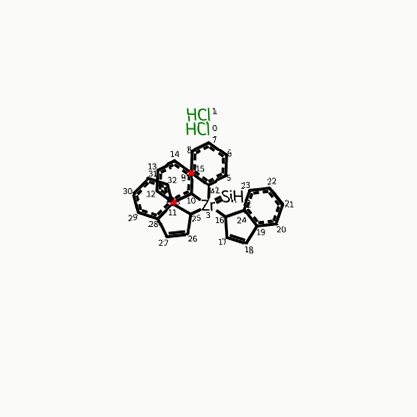 Cl.Cl.[SiH2]=[Zr]([c]1ccccc1)([c]1ccccc1)([CH]1C=Cc2ccccc21)[CH]1C=Cc2ccccc21